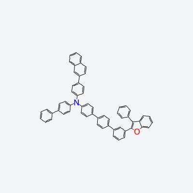 c1ccc(-c2ccc(N(c3ccc(-c4ccc(-c5cccc(-c6oc7ccccc7c6-c6ccccc6)c5)cc4)cc3)c3ccc(-c4ccc5ccccc5c4)cc3)cc2)cc1